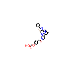 Cc1nc(-c2ccccc2)sc1Cn1c2c(c3cccnc31)CCN(C(=O)Cc1ccc(OCC(=O)O)cc1)C2